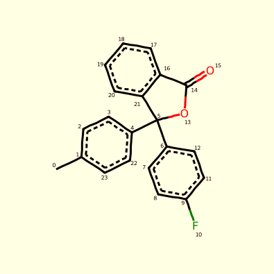 Cc1ccc(C2(c3ccc(F)cc3)OC(=O)c3ccccc32)cc1